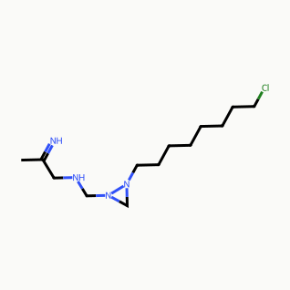 CC(=N)CNCN1CN1CCCCCCCCCl